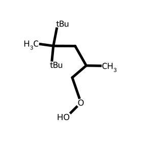 CC(COO)CC(C)(C(C)(C)C)C(C)(C)C